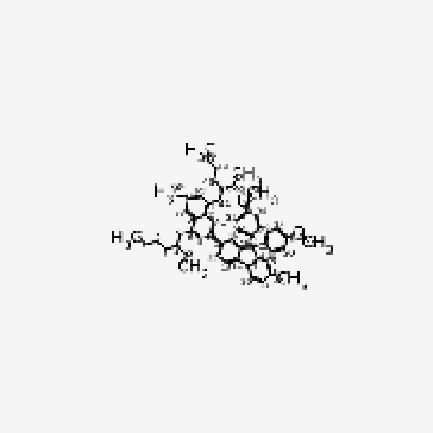 CCCCC(CC)Cc1cc(-c2ccc3c(c2)C(c2ccc(OC)cc2)(c2ccc(OC)cc2)c2cc(C)ccc2-3)cc2c(CC(CC)CCCC)cc(C)cc12